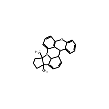 CC12CCCC1(C)N1c3cccc4c3B(c3ccccc3S4)C3C=CC=C2C31